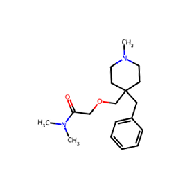 CN1CCC(COCC(=O)N(C)C)(Cc2ccccc2)CC1